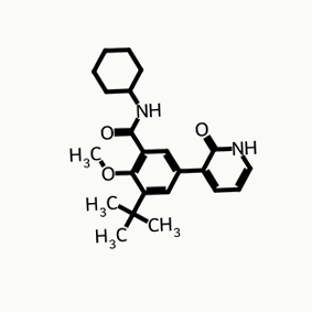 COc1c(C(=O)NC2CCCCC2)cc(-c2ccc[nH]c2=O)cc1C(C)(C)C